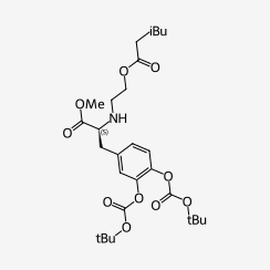 CCC(C)CC(=O)OCCN[C@@H](Cc1ccc(OC(=O)OC(C)(C)C)c(OC(=O)OC(C)(C)C)c1)C(=O)OC